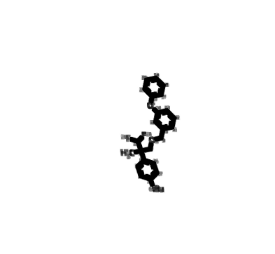 CC(C)(C)c1ccc(C(C)(COCc2cccc(Oc3ccccc3)c2)C(F)F)cc1